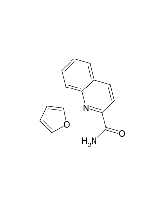 NC(=O)c1ccc2ccccc2n1.c1ccoc1